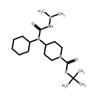 CN(C)NC(=O)N(C1CCCCC1)C1CCN(C(=O)OC(C)(C)C)CC1